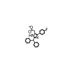 COC(=O)Cc1[nH]c(C(c2ccccc2)c2ccccc2)nc1-c1ccc(F)cc1